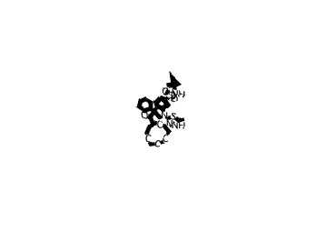 CC(=O)C1(C2CCCCC2)CN(C2SC(C)NN2C2CCCCCCCCCC2)c2cc(S(=O)(=O)NC3(C)CC3)ccc21